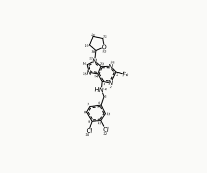 Fc1nc(NCc2ccc(Cl)c(Cl)c2)c2ncn(C3CCCO3)c2n1